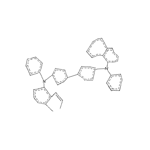 C/C=C\c1c(C)cccc1N(c1ccccc1)c1ccc(-c2ccc(N(c3ccccc3)c3cccc4ccccc34)cc2)cc1